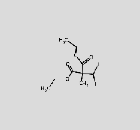 CCOC(=O)C(C)(C(=O)OCC)C(I)I